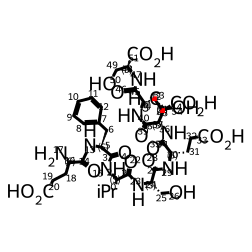 CC(C)[C@H](NC(=O)[C@H](Cc1ccccc1)NC(=O)[C@@H](N)CCC(=O)O)C(=O)N[C@@H](CO)C(=O)N[C@@H](CCC(=O)O)C(=O)N[C@H](C(=O)N[C@@H](CCC(=O)O)C(=O)N[C@@H](CO)C(=O)O)[C@@H](C)O